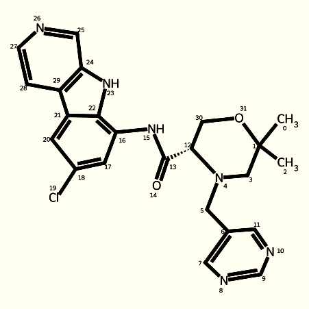 CC1(C)CN(Cc2cncnc2)[C@H](C(=O)Nc2cc(Cl)cc3c2[nH]c2cnccc23)CO1